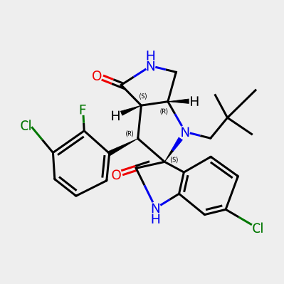 CC(C)(C)CN1[C@H]2CNC(=O)[C@H]2[C@H](c2cccc(Cl)c2F)[C@]12C(=O)Nc1cc(Cl)ccc12